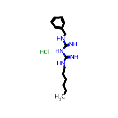 CCCCCCNC(=N)NC(=N)NCc1ccccc1.Cl